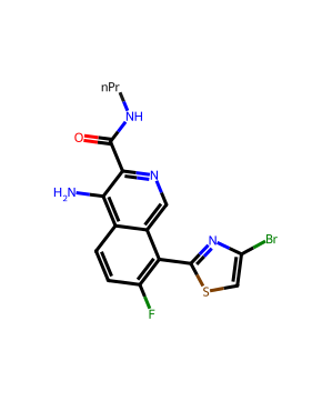 CCCNC(=O)c1ncc2c(-c3nc(Br)cs3)c(F)ccc2c1N